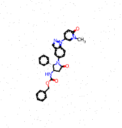 Cn1cc(-n2ncc3cc(N4C(=O)C[C@@H](NC(=O)OCc5ccccc5)[C@@H]4c4ccccc4)ccc32)ccc1=O